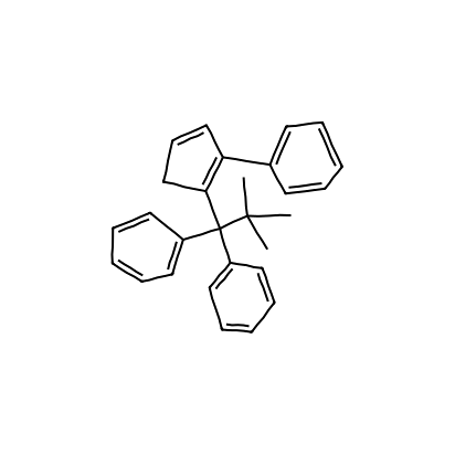 CC(C)(C)C(C1=C(c2ccccc2)C=CC1)(c1ccccc1)c1ccccc1